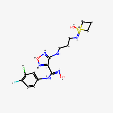 O/N=C(\Nc1ccc(F)c(Cl)c1)c1nonc1NCCCN=[SH]1(O)CCC1